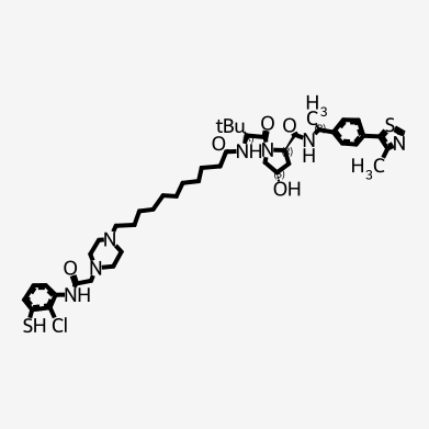 Cc1ncsc1-c1ccc([C@@H](C)NC(=O)[C@H]2C[C@H](O)CN2C(=O)[C@H](NC(=O)CCCCCCCCCCN2CCN(CC(=O)Nc3cccc(S)c3Cl)CC2)C(C)(C)C)cc1